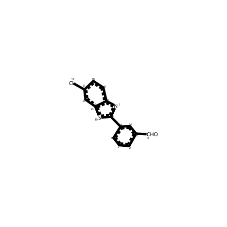 O=Cc1cccc(-c2nc3ccc(Cl)cc3s2)c1